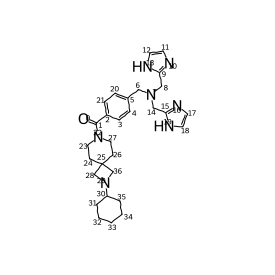 O=C(c1ccc(CN(Cc2ncc[nH]2)Cc2ncc[nH]2)cc1)N1CCC2(CC1)CN(C1CCCCC1)C2